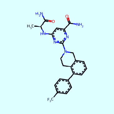 C[C@H](Nc1cc(C(N)=O)nc(N2CCc3c(cccc3-c3ccc(C(F)(F)F)cc3)C2)n1)C(N)=O